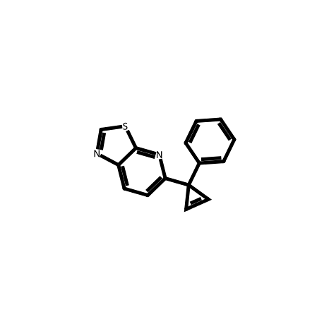 C1=CC1(c1ccccc1)c1ccc2ncsc2n1